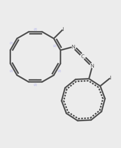 IC1=C(N=C=Nc2ccccccccc2I)/C=C\C=C/C=C\C=C/C=C\1